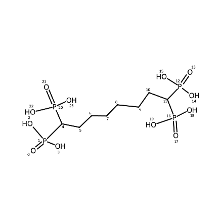 O=P(O)(O)C(CCCCCCC(P(=O)(O)O)P(=O)(O)O)P(=O)(O)O